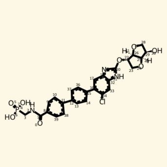 O=C(NCP(=O)(O)O)c1ccc(-c2ccc(-c3cc4nc(O[C@@H]5CO[C@H]6[C@@H]5OC[C@H]6O)[nH]c4cc3Cl)cc2)cc1